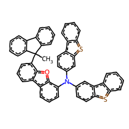 CC1(c2cccc3c2oc2c(N(c4ccc5c(c4)sc4ccccc45)c4ccc5sc6ccccc6c5c4)cccc23)c2ccccc2-c2ccccc21